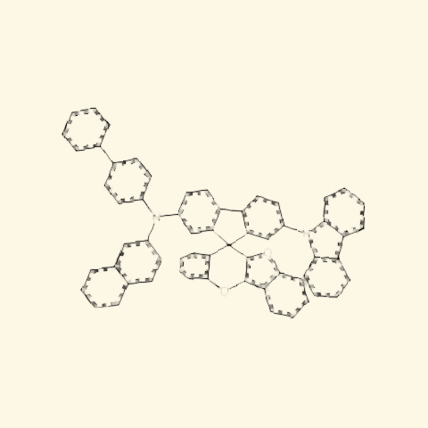 c1ccc(-c2ccc(N(c3ccc4c(c3)C3(c5ccccc5Oc5c3oc3ccccc53)c3cc(-n5c6ccccc6c6ccccc65)ccc3-4)c3ccc4ccccc4c3)cc2)cc1